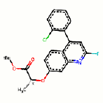 C[C@@H](Oc1ccc2c(-c3ccccc3Cl)cc(F)nc2c1)C(=O)OC(C)(C)C